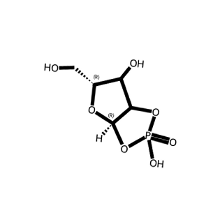 O=P1(O)OC2C(O)[C@@H](CO)O[C@@H]2O1